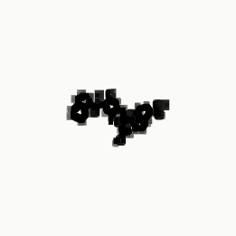 COC1CN(C(O[C@H]2CC[C@H](C(=O)O)CC2)(C(=O)Cc2cc(Cl)c(NC(=O)c3nccc4ccccc34)cc2F)N2CCCC2)C1